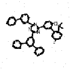 CC1(C)Oc2ccc(-c3nc(-c4cccc(-c5ccccc5)c4)nc(-c4cc(-c5ccccc5)cc(-c5ccccc5)c4)n3)cc2-c2cc(F)ccc21